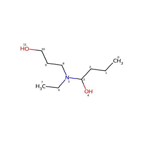 CCCC(O)N(CC)CCCO